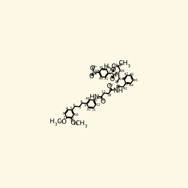 COc1ccc(CCCc2cccc(NC(=O)CCC(=O)N[C@H](CCN(CC(C)C)S(=O)(=O)c3ccc([N+](=O)[O-])cc3)Cc3ccccc3)c2)cc1OC